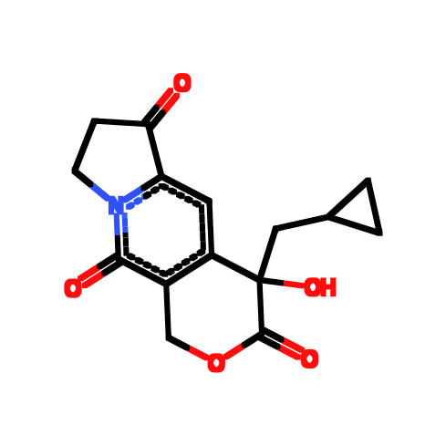 O=C1CCn2c1cc1c(c2=O)COC(=O)C1(O)CC1CC1